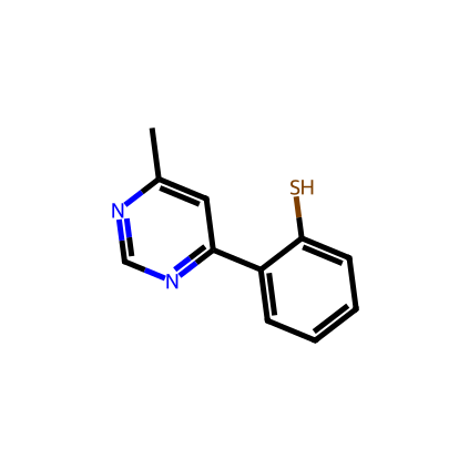 Cc1cc(-c2ccccc2S)ncn1